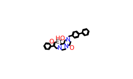 CCc1oc2ccccc2c1CN1CCN2C(=O)CN(Cc3ccc(-c4ccccc4)cc3)C(O)C2C1